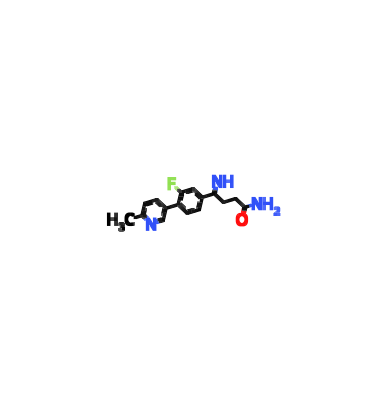 Cc1ccc(-c2ccc(C(=N)CCC(N)=O)cc2F)cn1